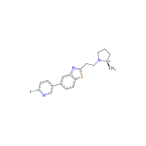 C[C@@H]1CCCN1CCc1nc2cc(-c3ccc(F)nc3)ccc2s1